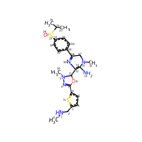 CNCc1ccc(C2=NN(C)C(C3=C(N)N(C)CC(c4ccc([S+]([O-])C(C)C)cc4)=N3)O2)s1